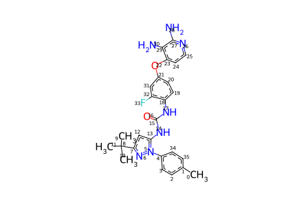 Cc1ccc(-n2nc(C(C)(C)C)cc2NC(=O)Nc2ccc(Oc3ccnc(N)c3N)cc2F)cc1